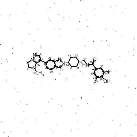 CN1CCn2ncc(-c3ccc4cn([C@H]5CC[C@H](CNC(=O)c6cc(F)c(O)c(F)c6)CC5)nc4c3)c21